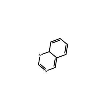 C1=CC2=CN=C[N]C2C=C1